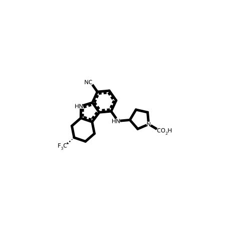 N#Cc1ccc(NC2CCN(C(=O)O)C2)c2c3c([nH]c12)C[C@@H](C(F)(F)F)CC3